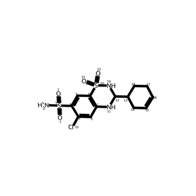 NS(=O)(=O)c1cc2c(cc1Cl)NC(C1CC=CCC1)NS2(=O)=O